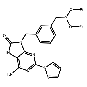 CCOP(Cc1cccc(Cn2c(=O)[nH]c3c(N)nc(-n4cccn4)nc32)c1)OCC